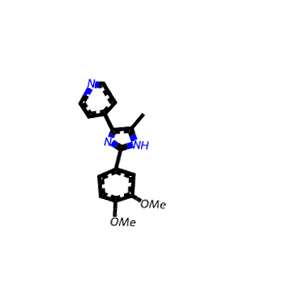 COc1ccc(-c2nc(-c3ccncc3)c(C)[nH]2)cc1OC